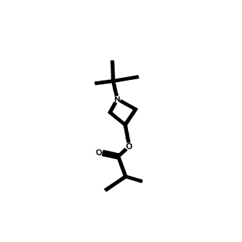 CC(C)C(=O)OC1CN(C(C)(C)C)C1